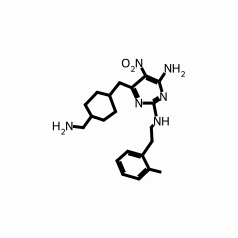 Cc1ccccc1CCNc1nc(N)c([N+](=O)[O-])c(CC2CCC(CN)CC2)n1